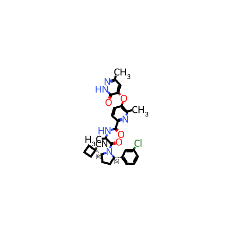 Cc1cc(Oc2ccc(C(=O)NC(C)C(=O)N3[C@H](c4cccc(Cl)c4)CC[C@@H]3C3(C#N)CCC3)nc2C)c(=O)[nH]n1